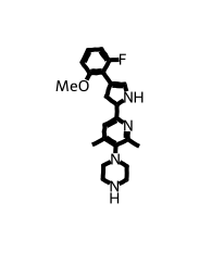 COc1cccc(F)c1C1=CNC(c2cc(C)c(N3CCNCC3)c(C)n2)C1